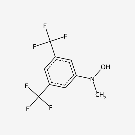 CN(O)c1cc(C(F)(F)F)cc(C(F)(F)F)c1